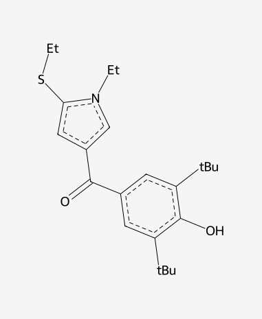 CCSc1cc(C(=O)c2cc(C(C)(C)C)c(O)c(C(C)(C)C)c2)cn1CC